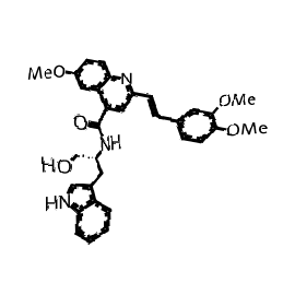 COc1ccc2nc(C=Cc3ccc(OC)c(OC)c3)cc(C(=O)N[C@@H](CO)Cc3c[nH]c4ccccc34)c2c1